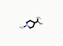 CC(C)[C@H](C)C1CCN(C)CC1